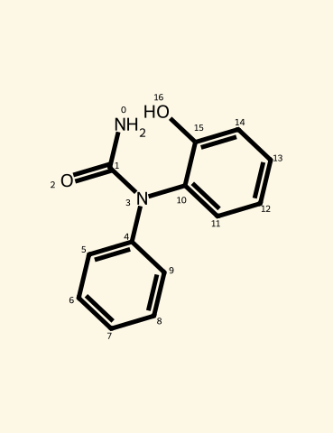 NC(=O)N(c1ccccc1)c1ccccc1O